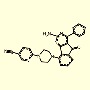 N#Cc1ccc(N2CCN(c3cccc4c3-c3nc(N)nc(-c5ccccc5)c3C4=O)CC2)nc1